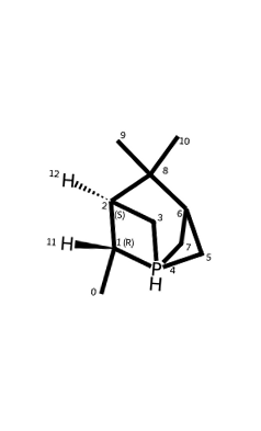 C[C@@H]1[C@@H]2C[PH]13CC(C3)C2(C)C